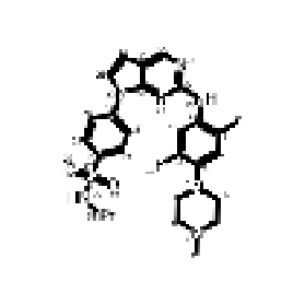 Cc1cc(N2CCN(C)CC2)c(F)cc1Nc1ncc2ccn(-c3ccc(S(=O)(=O)NC(C)C)cc3)c2n1